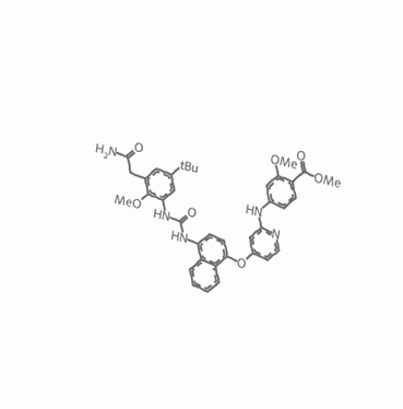 COC(=O)c1ccc(Nc2cc(Oc3ccc(NC(=O)Nc4cc(C(C)(C)C)cc(CC(N)=O)c4OC)c4ccccc34)ccn2)cc1OC